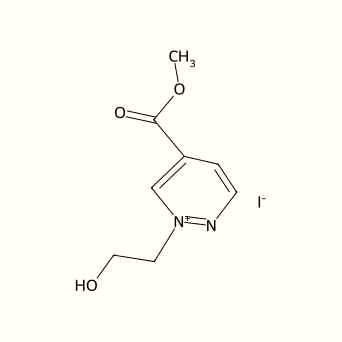 COC(=O)c1ccn[n+](CCO)c1.[I-]